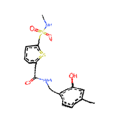 CNS(=O)(=O)c1ccc(C(=O)NCc2ccc(C)cc2O)s1